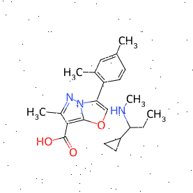 CCC(NC)C1CC1.Cc1ccc(-c2coc3c(C(=O)O)c(C)nn23)c(C)c1